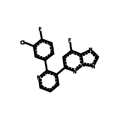 Fc1ccc(-c2ncccc2-c2cc(F)c3ncnn3n2)cc1Cl